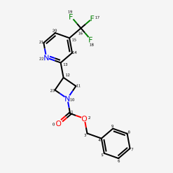 O=C(OCc1ccccc1)N1CC(c2cc(C(F)(F)F)ccn2)C1